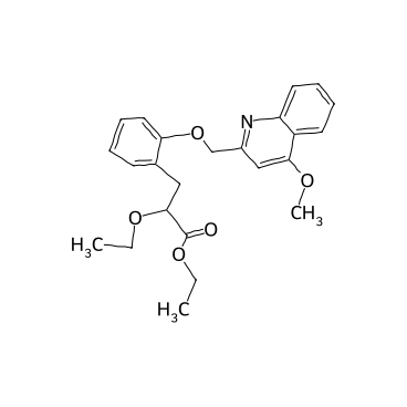 CCOC(=O)C(Cc1ccccc1OCc1cc(OC)c2ccccc2n1)OCC